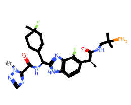 CC(C)n1ncnc1C(=O)N[C@H](c1nc2c(F)c([C@H](C)C(=O)NCC(C)(C)P)ccc2[nH]1)C1CCC(C)(F)CC1